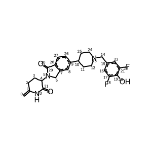 C=C1CCC(N2Cc3cc(C4CCN(Cc5cc(F)c(O)c(F)c5)CC4)ccc3C2=O)C(=O)N1